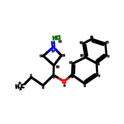 CCCC(Oc1ccc2ccccc2c1)C1CNC1.Cl